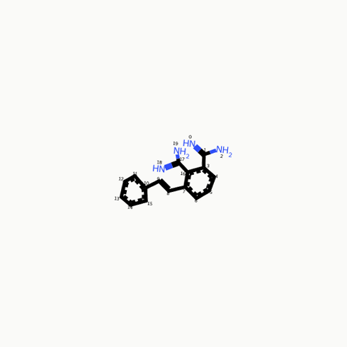 N=C(N)c1cccc(C=Cc2ccccc2)c1C(=N)N